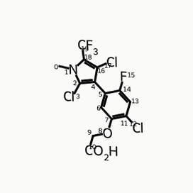 Cn1c(Cl)c(-c2cc(OCC(=O)O)c(Cl)cc2F)c(Cl)c1C(F)(F)F